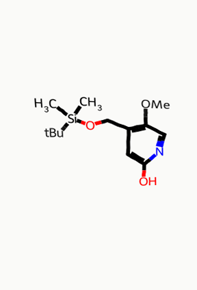 COc1cnc(O)cc1CO[Si](C)(C)C(C)(C)C